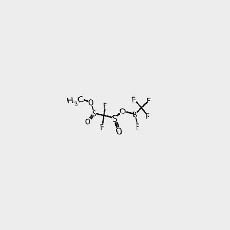 COS(=O)C(F)(F)S(=O)OB(F)C(F)(F)F